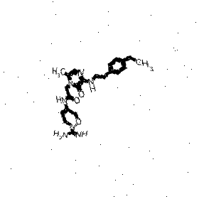 CCc1ccc(CCNc2ncc(C)n(CC(=O)NC3CCN(C(=N)N)OC3)c2=O)cc1